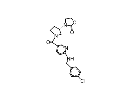 O=C(c1ccc(NCc2ccc(Cl)cc2)nc1)N1CC[C@H](N2CCOC2=O)C1